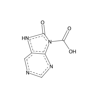 O=C(O)n1c(=O)[nH]c2cncnc21